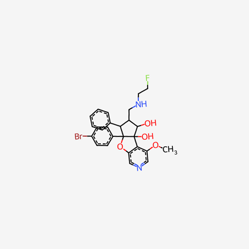 COc1cncc2c1C1(O)C(O)C(CNCCF)C(c3ccccc3)C1(c1ccc(Br)cc1)O2